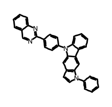 c1ccc(-n2ccc3cc4c(cc32)c2ccccc2n4-c2ccc(-c3ncc4ccccc4n3)cc2)cc1